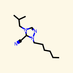 CCCCCCN1N=CN(CC(C)C)C1C#N